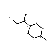 CC1CCN(C(C)CF)CC1